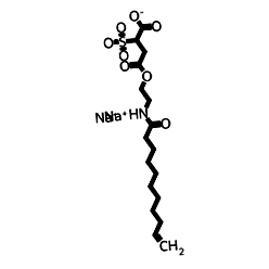 C=CCCCCCCCCC(=O)NCCOC(=O)CC(C(=O)[O-])S(=O)(=O)[O-].[Na+].[Na+]